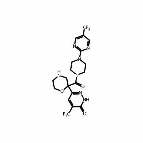 O=C(N1CCN(c2ncc(C(F)(F)F)cn2)CC1)C1(c2cc(C(F)(F)F)c(=O)[nH]n2)CNCCO1